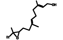 CCC1(C)OC1CCC(C)=CCCC(C)=CCO